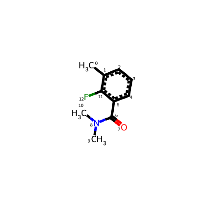 Cc1cccc(C(=O)N(C)C)c1F